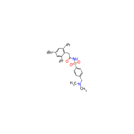 CCC(C)c1cc(C(C)C)c(CC(=O)NS(=O)(=O)c2ccc(CN(C)C)cc2)c(C(C)C)c1